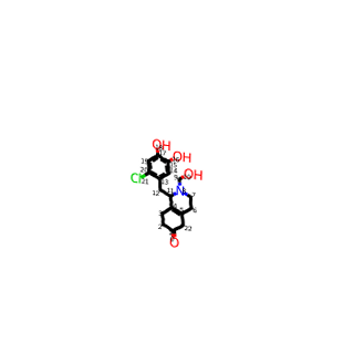 O=C1CCC2=C(CCN(CO)C2Cc2cc(O)c(O)cc2Cl)C1